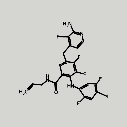 C=CCNC(=O)c1cc(Cc2ccnc(N)c2F)c(F)c(F)c1Nc1cc(F)c(I)cc1F